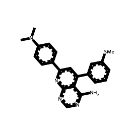 CSc1cccc(-c2cc(-c3ccc(N(C)C)cc3)nc3ncnc(N)c23)c1